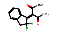 COC(=O)C(C(=O)OC)=C1c2ccccc2CC1(F)F